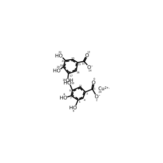 O=C([O-])c1cc(O)c(O)c(O)c1.O=C([O-])c1cc(O)c(O)c(O)c1.[Cu+2]